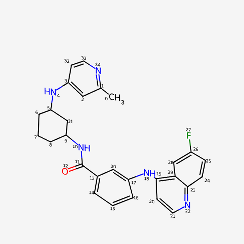 Cc1cc(NC2CCCC(NC(=O)c3cccc(Nc4ccnc5ccc(F)cc45)c3)C2)ccn1